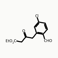 CCOC(=O)CC(=O)Cc1cc(Cl)ccc1C=O